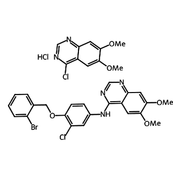 COc1cc2ncnc(Cl)c2cc1OC.COc1cc2ncnc(Nc3ccc(OCc4ccccc4Br)c(Cl)c3)c2cc1OC.Cl